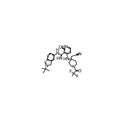 CC(F)(F)C(=O)N1CCC(CC#N)(Nc2cc[nH]c(=O)c2C(=N)Nc2ccc3c(c2)CN(C(C)(C)C)S3)CC1